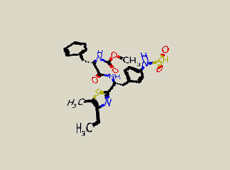 CCc1nc([C@H](Cc2ccc(N[SH](=O)=O)cc2)NC(=O)[C@H](Cc2ccccc2)NC(=O)OC)sc1C